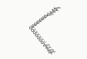 [Hf+4].[Hf+4].[In+3].[In+3].[O-2].[O-2].[O-2].[O-2].[O-2].[O-2].[O-2].[O-2].[O-2].[O-2].[O-2].[O-2].[O-2].[Sn+4].[Sn+4].[Zn+2].[Zn+2]